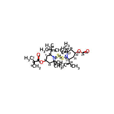 C=C(C)C(=O)OC1CC(C(C)(C)C)N(SSN2C(C(C)C)CC(OC=O)CC2(C)C)C(C)(C)C1